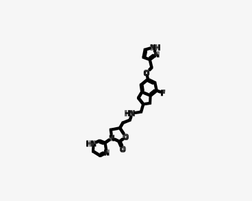 O=C1OC(CCNCC2Cc3cc(OCc4cc[nH]n4)cc(F)c3C2)CN1C1=CNCC=N1